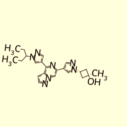 CCC(CC)n1cc(-c2nc(-c3cnn([C@H]4C[C@](C)(O)C4)c3)cn3nccc23)cn1